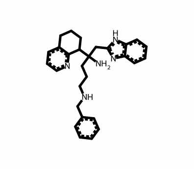 NC(CCCNCc1ccccc1)(Cc1nc2ccccc2[nH]1)C1CCCc2cccnc21